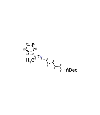 CCCCCCCCCCCCCCCC/C=C/C(C)c1ccccc1